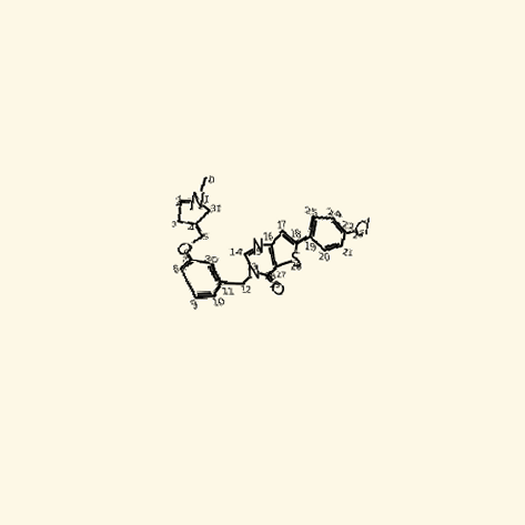 CN1CCC(COc2cccc(Cn3cnc4cc(-c5ccc(Cl)cc5)sc4c3=O)c2)C1